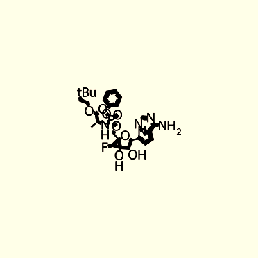 C[C@H](N[P@](=O)(OC[C@@]12O[C@@H](c3ccc4c(N)ncnn34)[C@H](O)[C@@]1(O)C2F)Oc1ccccc1)C(=O)OCCC(C)(C)C